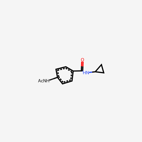 CC(=O)Nc1ccc(C(=O)NC2CC2)cc1